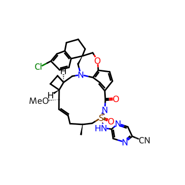 CO[C@H]1/C=C/C[C@H](C)C[S@@](=O)(Nc2cnc(C#N)cn2)=NC(=O)c2ccc3c(c2)N(C[C@@H]2CC[C@H]21)C[C@@]1(CCCc2cc(Cl)ccc21)CO3